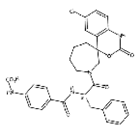 O=C(O)Nc1ccc(C(=O)N[C@@H](Cc2ccccc2)C(=O)N2CCCCC3(C2)OC(=O)Nc2ccc(Cl)cc23)cc1